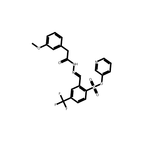 COc1cccc(CC(=O)N/N=C/c2cc(C(F)(F)F)ccc2S(=O)(=O)Oc2cccnc2)c1